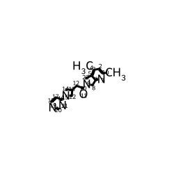 Cc1cc(C)c2c(n1)CN(C(=O)CC1CN(c3ccncn3)C1)C2